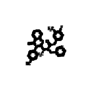 C[C@H](c1nc2ccccc2c(=O)n1-c1ccc(C#N)cc1)N(Cc1cccnc1)C(=O)Cc1ccc(F)c(C(F)(F)F)c1